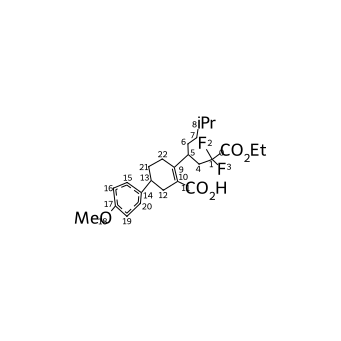 CCOC(=O)C(F)(F)CC(CCC(C)C)C1=C(C(=O)O)CC(c2ccc(OC)cc2)CC1